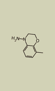 Cc1cccc2c1OCCN2N